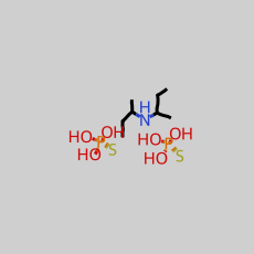 CCC(C)NC(C)CC.OP(O)(O)=S.OP(O)(O)=S